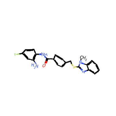 Cn1c(SCc2ccc(C(=O)Nc3ccc(F)cc3N)cc2)nc2ccccc21